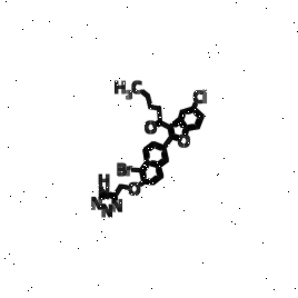 CCCCC(=O)c1c(-c2ccc3c(Br)c(OCc4nnn[nH]4)ccc3c2)oc2ccc(Cl)cc12